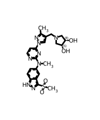 Cc1nn(-c2ccnc(N(C)c3ccc4[nH]nc(S(C)(=O)=O)c4c3)n2)cc1CN1C[C@@H](O)[C@@H](O)C1